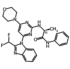 C[C@H](Nc1nc(N2CCOCC2)cc(-n2c(C(F)F)nc3ccccc32)n1)C(=O)Nc1ccccc1